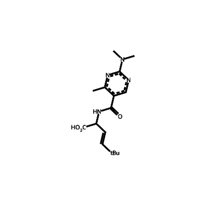 Cc1nc(N(C)C)ncc1C(=O)NC(/C=C/C(C)(C)C)C(=O)O